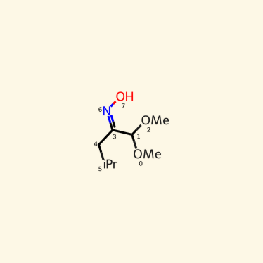 COC(OC)/C(CC(C)C)=N\O